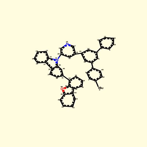 CC(C)(C)c1ccc(-c2cc(-c3ccccc3)cc(-c3cncc(-n4c5ccccc5c5ccc(-c6cccc7c6oc6ccccc67)cc54)c3)c2)cc1